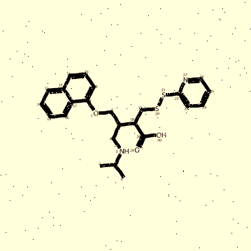 CC(C)NCC(COc1cccc2ccccc12)C(CSSc1ccccn1)C(=O)O